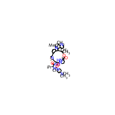 CCn1c(-c2cccnc2[C@H](C)OC)c2c3cc(ccc31)-c1csc(n1)C[C@H](NC(=O)C(C(C)C)N(C)C(=O)N1CCC(N(C)C)CC1)C(=O)N1CCC[C@H](N1)C(=O)OCC(C)(C)C2